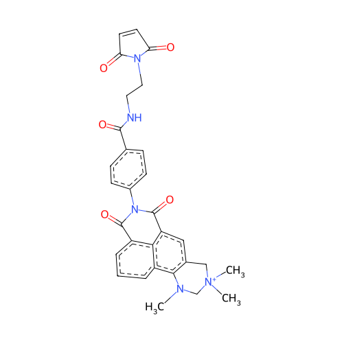 CN1C[N+](C)(C)Cc2cc3c4c(cccc4c21)C(=O)N(c1ccc(C(=O)NCCN2C(=O)C=CC2=O)cc1)C3=O